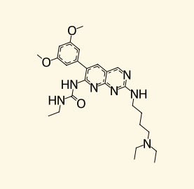 CCNC(=O)Nc1nc2nc(NCCCCN(CC)CC)ncc2cc1-c1cc(OC)cc(OC)c1